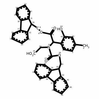 Cc1ccc(C(C(=O)OCC2c3ccccc3-c3ccccc32)N(CC(=O)O)C(=O)OCC2c3ccccc3-c3ccccc32)c(O)c1